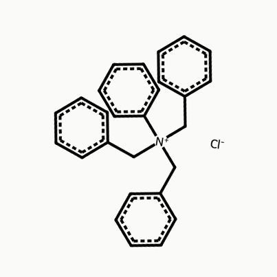 [Cl-].c1ccc(C[N+](Cc2ccccc2)(Cc2ccccc2)c2ccccc2)cc1